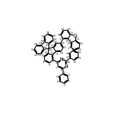 c1ccc(-c2cc(-c3cccc4c3-c3ccc(-c5cccc6oc7ccccc7c56)cc3C43c4ccccc4-c4ccccc43)nc(-c3ccccc3)n2)cc1